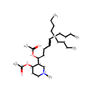 CCC[CH2][Sn](/[CH]=C/CCC(OC(C)=O)C1CN(C)CCC1OC(C)=O)([CH2]CCC)[CH2]CCC